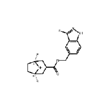 O=C(NCc1ccc2[nH]nc(F)c2c1)C1C[C@H]2CC[C@@H](C1)N2